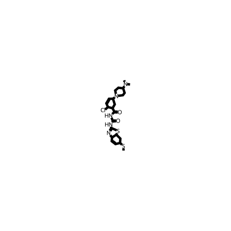 CSC1C=CC2N=C(NC(=O)NC(=O)C3CC(N4CCC(N(C)C)CC4)C=CC3Cl)SC2C1